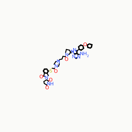 Nc1ncnc2c1c(-c1ccc(Oc3ccccc3)cc1)nn2[C@@H]1CCCN(C(=O)CCCN2CCN(C(=O)CSc3cccc4c3CN(C3CCC(=O)NC3=O)C4=O)CC2)C1